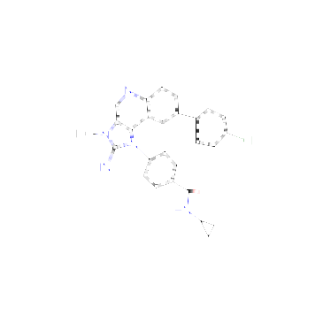 Cn1c(=N)n(-c2ccc(C(=O)NC3CC3)cc2)c2c3cc(-c4ccc(Cl)cc4)ccc3ncc21